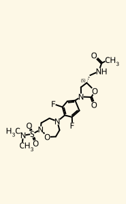 CC(=O)NC[C@H]1CN(c2cc(F)c(N3CCON(S(=O)(=O)N(C)C)CC3)c(F)c2)C(=O)O1